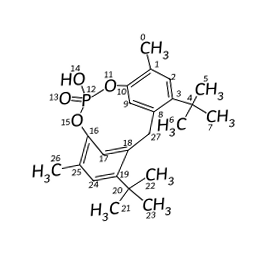 Cc1cc(C(C)(C)C)c2cc1OP(=O)(O)Oc1cc(c(C(C)(C)C)cc1C)C2